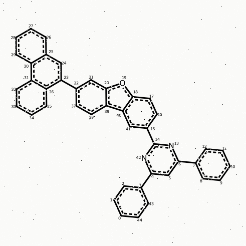 c1ccc(-c2cc(-c3ccccc3)nc(-c3ccc4oc5cc(-c6cc7ccccc7c7ccccc67)ccc5c4c3)n2)cc1